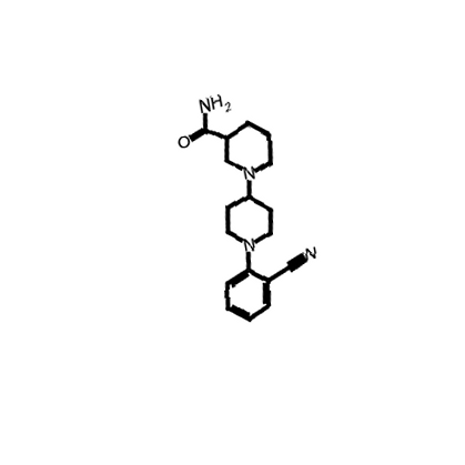 N#Cc1ccccc1N1CCC(N2CCCC(C(N)=O)C2)CC1